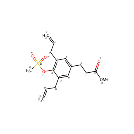 C=CCc1cc(CCC(=O)OC)cc(CC=C)c1OS(=O)(=O)C(F)(F)F